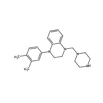 Cc1ccc(N2CCN(CN3CCNCC3)c3ccccc32)cc1C